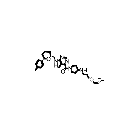 CO[C@H](C)COCCCNC1CCN(C(=O)c2ncnc(NC[C@H]3CCC[C@@H](c4ccc(C)cc4)O3)c2C)CC1